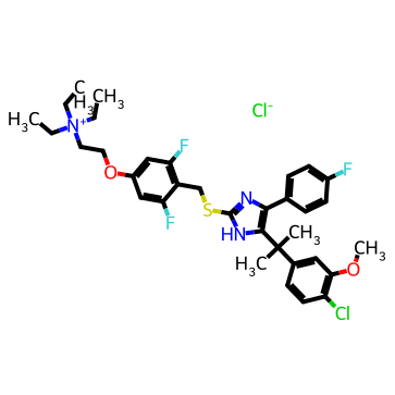 CC[N+](CC)(CC)CCOc1cc(F)c(CSc2nc(-c3ccc(F)cc3)c(C(C)(C)c3ccc(Cl)c(OC)c3)[nH]2)c(F)c1.[Cl-]